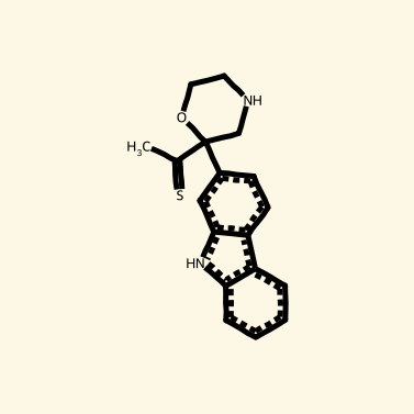 CC(=S)C1(c2ccc3c(c2)[nH]c2ccccc23)CNCCO1